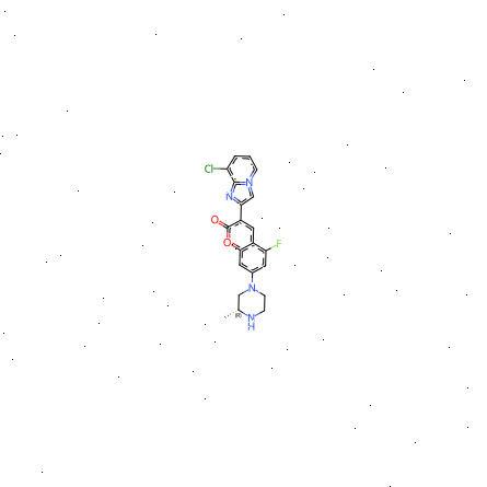 C[C@@H]1CN(c2cc(F)c3cc(-c4cn5cccc(Cl)c5n4)c(=O)oc3c2)CCN1